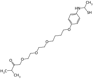 CC(S)Nc1ccc(OCCCCOCCOCCOCC(=O)C(C)C)cc1